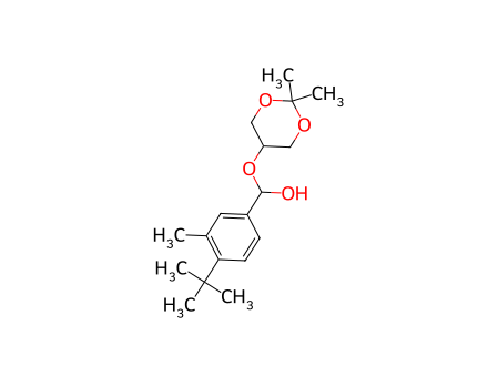 Cc1cc(C(O)OC2COC(C)(C)OC2)ccc1C(C)(C)C